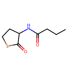 CCCC(=O)NC1CCSC1=O